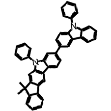 CC1(C)c2ccccc2-c2cc3c4ccc(-c5ccc6c(c5)c5ccccc5n6-c5ccccc5)cc4n(-c4ccccc4)c3cc21